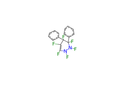 FC1=C(F)C(F)(c2ccccc2)C(F)(c2ccccc2)N(F)N1F